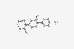 O=C1OCC=NN1c1ccc(-c2ccc(O)cc2)c(F)c1